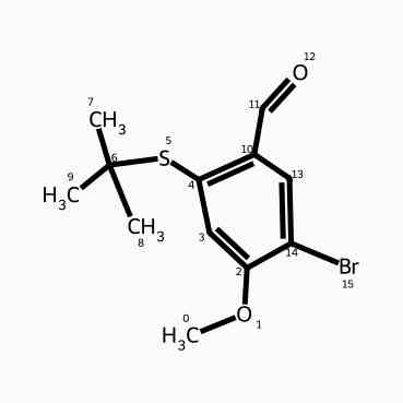 COc1cc(SC(C)(C)C)c(C=O)cc1Br